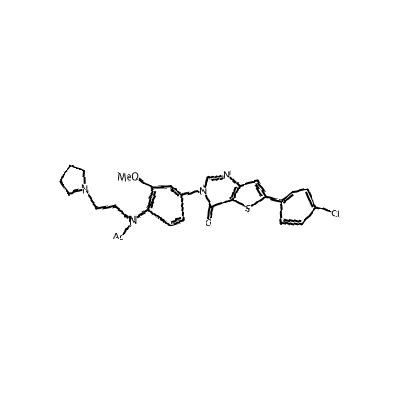 COc1cc(-n2cnc3cc(-c4ccc(Cl)cc4)sc3c2=O)ccc1N(CCN1CCCC1)C(C)=O